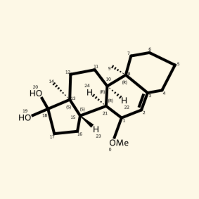 COC1C=C2CCCC[C@]2(C)[C@@H]2CC[C@@]3(C)[C@@H](CCC3(O)O)[C@H]12